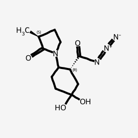 C[C@H]1CCN(C2CCC(O)(O)C[C@H]2C(=O)N=[N+]=[N-])C1=O